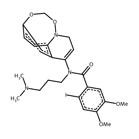 COc1cc(I)c(C(=O)N(CCCN(C)C)C2=CCN3OCOc4ccc3c2c4)cc1OC